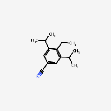 CCc1c(C(C)C)cc(C#N)cc1C(C)C